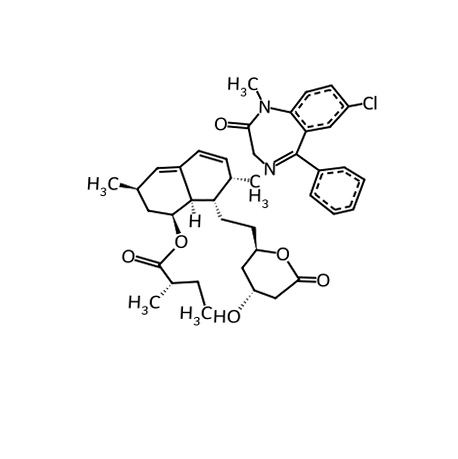 CC[C@H](C)C(=O)O[C@H]1C[C@@H](C)C=C2C=C[C@H](C)[C@H](CC[C@@H]3C[C@@H](O)CC(=O)O3)[C@H]21.CN1C(=O)CN=C(c2ccccc2)c2cc(Cl)ccc21